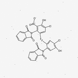 O=C1c2ccccc2C(=O)N1c1c(F)cc(Cl)c(O)c1[N+](=O)[O-].O=C1c2ccccc2C(=O)N1c1cc(O)c(Cl)cc1F